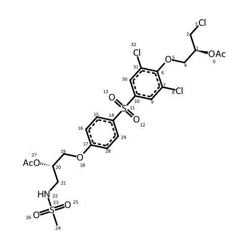 CC(=O)O[C@H](CCl)COc1c(Cl)cc(S(=O)(=O)c2ccc(OC[C@H](CNS(C)(=O)=O)OC(C)=O)cc2)cc1Cl